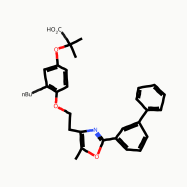 CCCCc1cc(OC(C)(C)C(=O)O)ccc1OCCc1nc(-c2cccc(-c3ccccc3)c2)oc1C